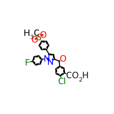 CS(=O)(=O)c1ccc(-c2cc(C(=O)c3ccc(Cl)c(C(=O)O)c3)nn2-c2ccc(F)cc2)cc1